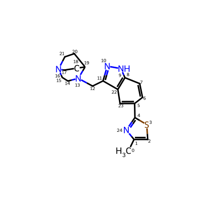 Cc1csc(-c2ccc3[nH]nc(CN4CCN5CCC4CC5)c3c2)n1